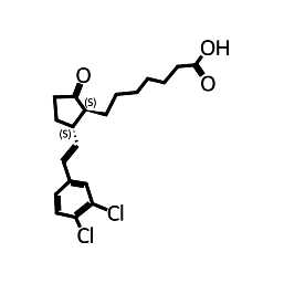 O=C(O)CCCCCC[C@@H]1C(=O)CC[C@H]1C=Cc1ccc(Cl)c(Cl)c1